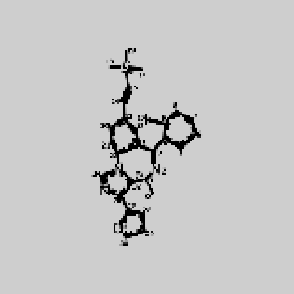 C[C@@H]1N=C(c2ccccc2I)c2cc(C#C[Si](C)(C)C)ccc2-n2cnc(-c3ccco3)c21